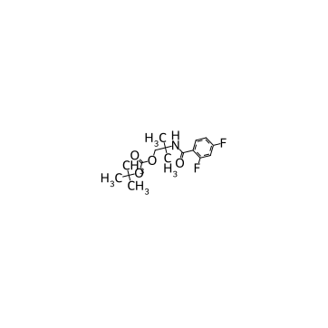 CC(C)(COC(=O)OC(C)(C)C)NC(=O)c1ccc(F)cc1F